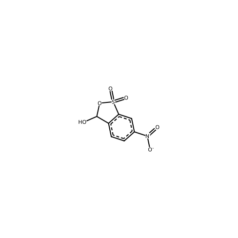 O=[N+]([O-])c1ccc2c(c1)S(=O)(=O)OC2O